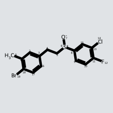 Cc1cc(CC[S+]([O-])c2ccc(F)c(Cl)c2)ccc1Br